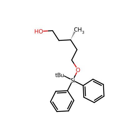 C[C@@H](CCO)CCO[Si](c1ccccc1)(c1ccccc1)C(C)(C)C